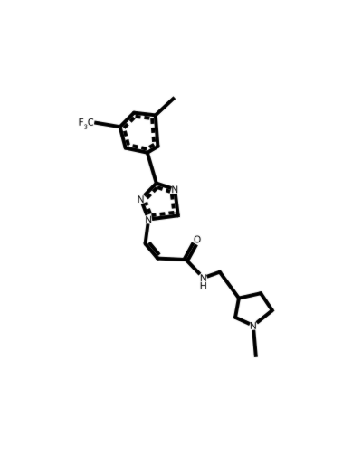 Cc1cc(-c2ncn(/C=C\C(=O)NCC3CCN(C)C3)n2)cc(C(F)(F)F)c1